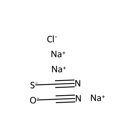 N#C[O-].N#C[S-].[Cl-].[Na+].[Na+].[Na+]